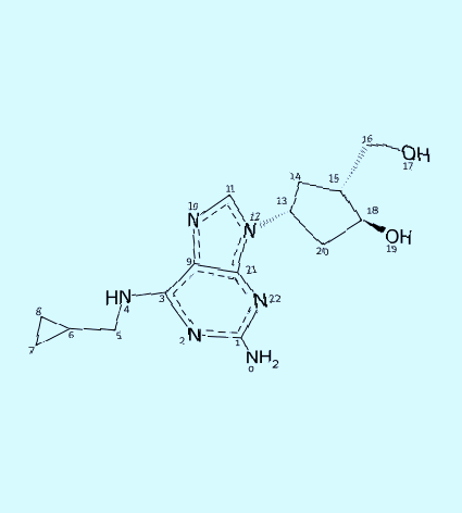 Nc1nc(NCC2CC2)c2ncn([C@@H]3C[C@H](CO)[C@@H](O)C3)c2n1